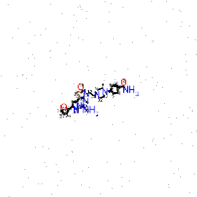 NC(=O)c1ccc(N2CCN(CCn3c(=O)sc4c3nc(N)n3nc(-c5ccco5)cc43)CC2)cc1